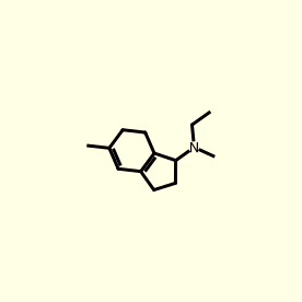 CCN(C)C1CCC2=C1CCC(C)=C2